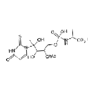 COC(COP(=O)(O)NC(C)C(=O)O)C(O)C(C)(O)n1ccc(=O)[nH]c1=S